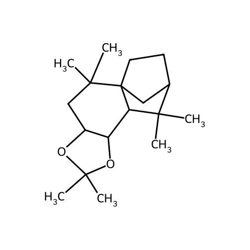 CC1(C)OC2CC(C)(C)C34CCC(C3)C(C)(C)C4C2O1